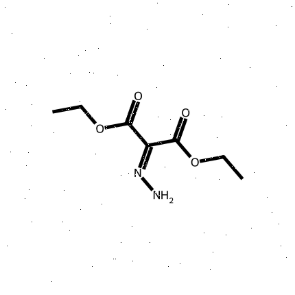 CCOC(=O)C(=NN)C(=O)OCC